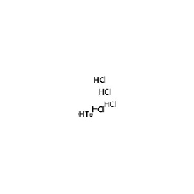 Cl.Cl.Cl.Cl.[TeH]